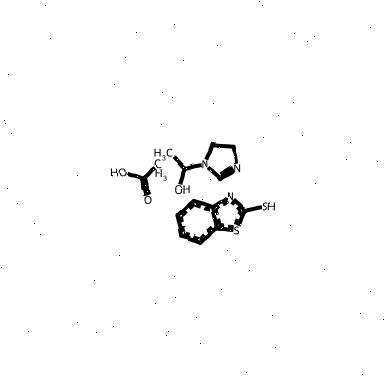 CC(=O)O.CC(O)N1C=NCC1.Sc1nc2ccccc2s1